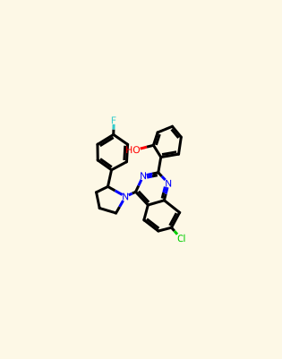 Oc1ccccc1-c1nc(N2CCCC2c2ccc(F)cc2)c2ccc(Cl)cc2n1